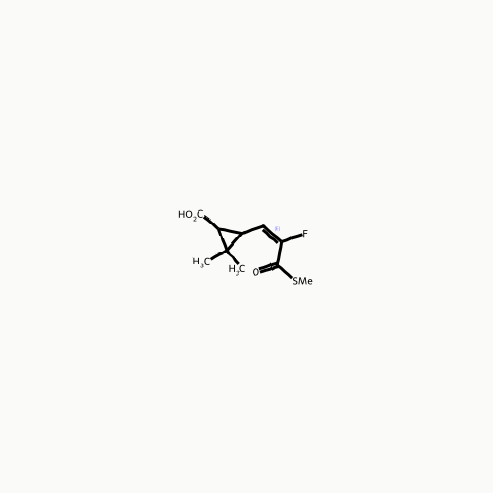 CSC(=O)/C(F)=C\C1C(C(=O)O)C1(C)C